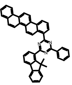 CC1(C)c2ccccc2-c2cccc(-c3nc(-c4ccccc4)nc(-c4cccc5c4ccc4c5ccc5c6ccccc6ccc54)n3)c21